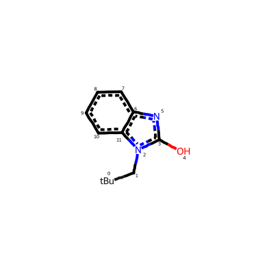 CC(C)(C)Cn1c(O)nc2ccccc21